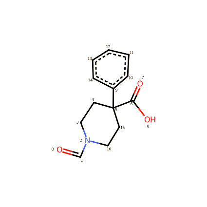 O=CN1CCC(C(=O)O)(c2ccccc2)CC1